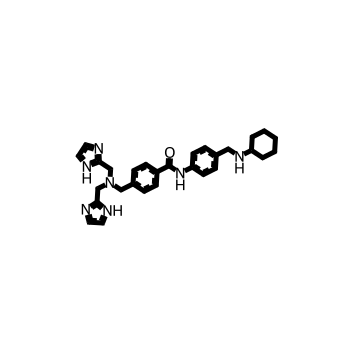 O=C(Nc1ccc(CNC2CCCCC2)cc1)c1ccc(CN(Cc2ncc[nH]2)Cc2ncc[nH]2)cc1